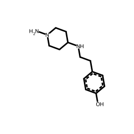 NN1CCC(NCCc2ccc(O)cc2)CC1